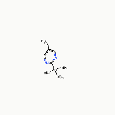 CCC[CH2][Sn]([CH2]CCC)([CH2]CCC)[c]1ncc(C(F)(F)F)cn1